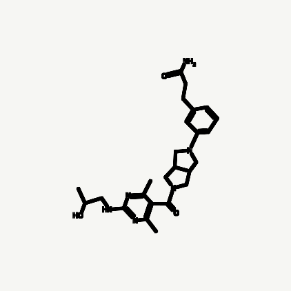 Cc1nc(NCC(C)O)nc(C)c1C(=O)N1CC2CN(c3cccc(CCC(N)=O)c3)CC2C1